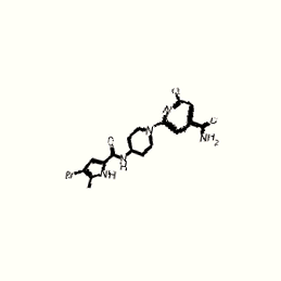 Cc1[nH]c(C(=O)NC2CCN(c3cc(C(N)=O)cc(Cl)n3)CC2)cc1Br